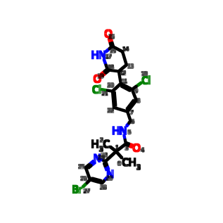 CC(C)(C(=O)NCc1cc(Cl)c(C2CCC(=O)NC2=O)c(Cl)c1)c1ncc(Br)cn1